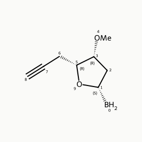 B[C@H]1C[C@@H](OC)[C@@H](CC#C)O1